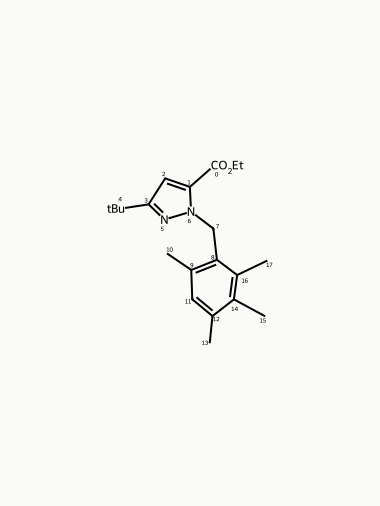 CCOC(=O)c1cc(C(C)(C)C)nn1Cc1c(C)cc(C)c(C)c1C